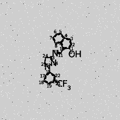 Oc1ccc2ccccc2c1C=NC1=NN(c2cccc(C(F)(F)F)c2)CC1